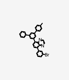 Cc1ccc(-c2cc(-c3ccccc3)cc(-c3ccc(-c4cccc(Br)c4)c4nccnc34)c2)cc1